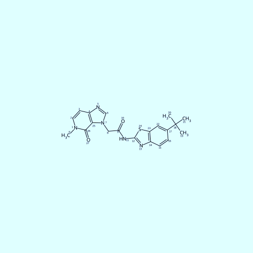 Cn1ccc2ncn(CC(=O)Nc3nc4ccc(C(C)(C)C)cc4s3)c2c1=O